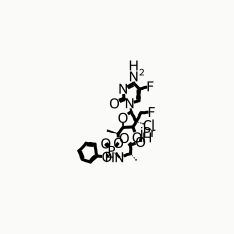 CC(C)OC(=O)[C@H](C)N[P@](=O)(Oc1ccccc1)O[C@@H](C)[C@H]1O[C@@H](n2cc(F)c(N)nc2=O)[C@@](Cl)(CF)C1O